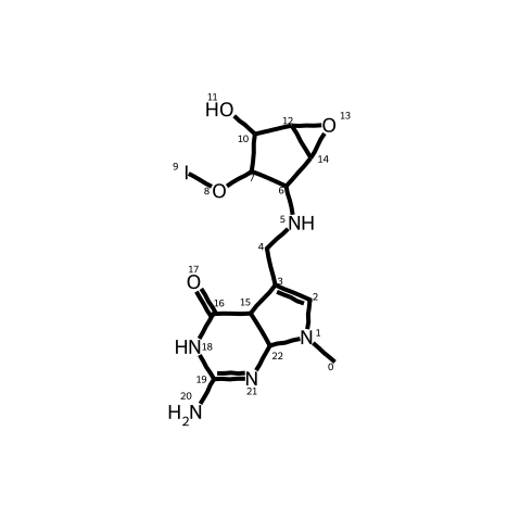 CN1C=C(CNC2C(OI)C(O)C3OC23)C2C(=O)NC(N)=NC21